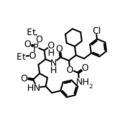 CCOP(=O)(OCC)C(O)C(CC1CC(Cc2ccccc2)NC1=O)NC(=O)C(OC(N)=O)C(Cc1cccc(Cl)c1)C1CCCCC1